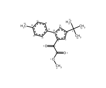 COC(=O)C(=O)c1cc(C(C)(C)C)nn1-c1ccc(C)cc1